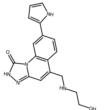 O=c1[nH]nc2cc(CNCCO)c3ccc(-c4ccc[nH]4)cc3n12